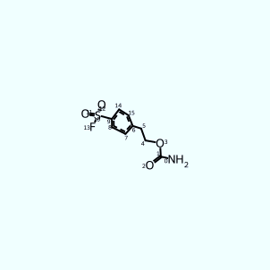 NC(=O)OCCc1ccc(S(=O)(=O)F)cc1